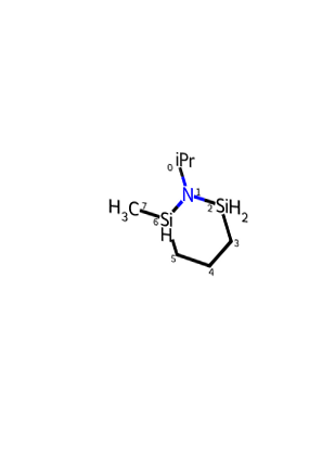 CC(C)N1[SiH2]CCC[SiH]1C